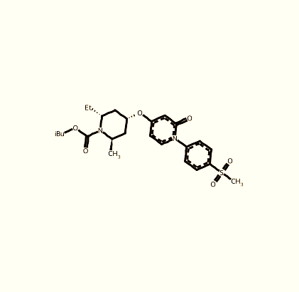 CCC(C)OC(=O)N1[C@H](CC)C[C@H](Oc2ccn(-c3ccc(S(C)(=O)=O)cc3)c(=O)c2)C[C@H]1C